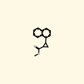 COC(=O)C1CC1c1cccc2ccccc12